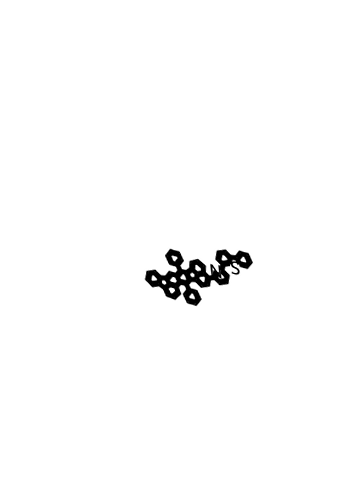 c1ccc(-c2c3cc4c5ccccc5c5cccc(c3c(-c3ccccc3)c3c6ccc(-c7cccc(-c8cccc9c8sc8ccccc89)n7)c7cccc(c23)c76)c54)cc1